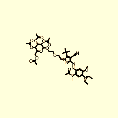 CCN(CC)c1cc(NC(C)=O)c(/N=N/c2nn(CCOCCOC3OC(COC(C)=O)C(OC(C)=O)C(OC(C)=O)C3OC(C)=O)c(C(C)(C)C)c2C#N)cc1OC